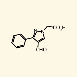 O=Cc1cn(CC(=O)O)nc1-c1ccccc1